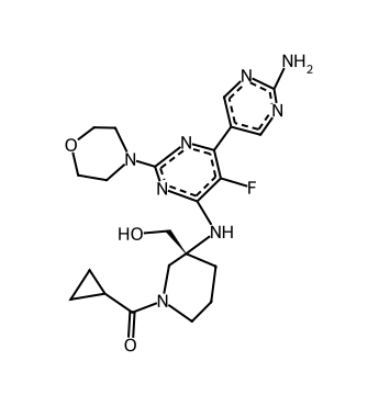 Nc1ncc(-c2nc(N3CCOCC3)nc(N[C@]3(CO)CCCN(C(=O)C4CC4)C3)c2F)cn1